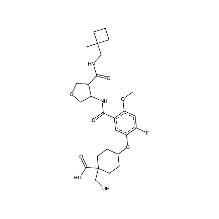 COc1cc(F)c(OC2CCC(CO)(C(=O)O)CC2)cc1C(=O)NC1COCC1C(=O)NCC1(C)CCC1